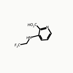 O=C(O)c1ncccc1NCC(F)(F)F